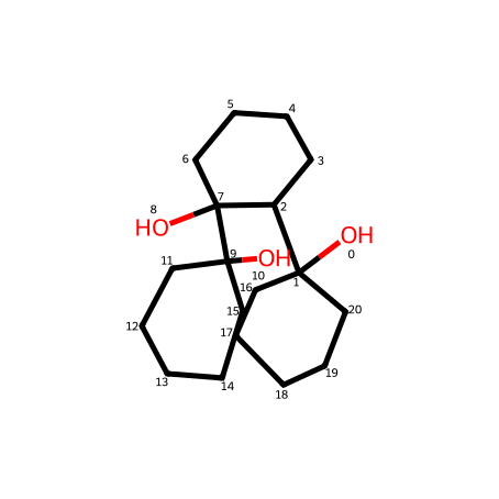 OC1(C2CCCCC2(O)C2(O)CCCCC2)CCCCC1